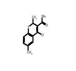 Cc1ccc2c(c1)C(Cl)=C(C(=O)C(C)(C)C)C(C)S2